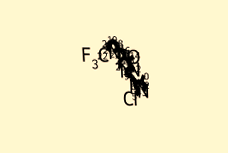 Cc1cnc(Cl)nc1-c1cn2c(n1)C(=O)N(Cc1cccc(C(F)(F)F)n1)CC2